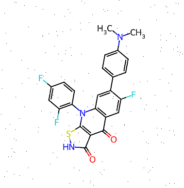 CN(C)c1ccc(-c2cc3c(cc2F)c(=O)c2c(=O)[nH]sc2n3-c2ccc(F)cc2F)cc1